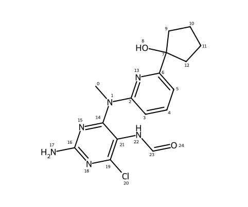 CN(c1cccc(C2(O)CCCC2)n1)c1nc(N)nc(Cl)c1NC=O